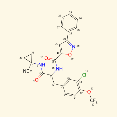 N#CC1(NC(=O)C(Cc2ccc(OC(F)(F)F)c(Cl)c2)NC(=O)c2cc(-c3ccccc3)no2)CC1